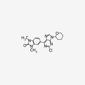 Cn1c(=O)n(C)c2cc(-c3nc(Cl)nc4c3ncn4C3CCCCO3)ccc21